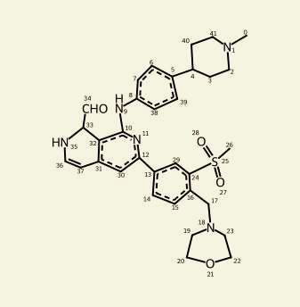 CN1CCC(c2ccc(Nc3nc(-c4ccc(CN5CCOCC5)c(S(C)(=O)=O)c4)cc4c3C(C=O)NC=C4)cc2)CC1